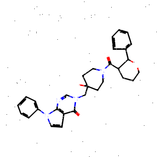 O=C(C1CCCOC1c1ccccc1)N1CCC(O)(Cn2cnc3c(ccn3-c3ccccc3)c2=O)CC1